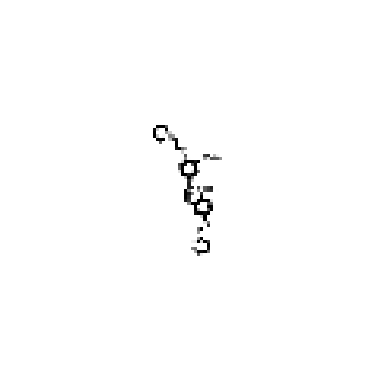 COc1cc(N/C=C\c2cc(OC[C@@H]3CCCO3)ccc2C=O)ccc1OCCN1CCCC1